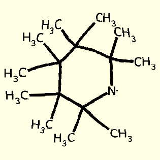 CC1(C)[N]C(C)(C)C(C)(C)C(C)(C)C1(C)C